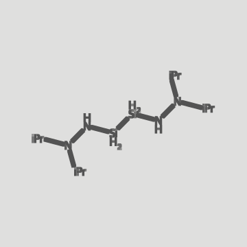 CC(C)N(N[SiH2][SiH2]NN(C(C)C)C(C)C)C(C)C